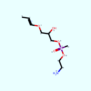 C/C=C/OCC(O)COP(C)(=O)OCCN